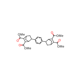 COC(=O)C1C2CC(c3ccc(C4CC5CC4C(C(=O)OC)C5C(=O)OC)cc3)C(C2)C1C(=O)OC